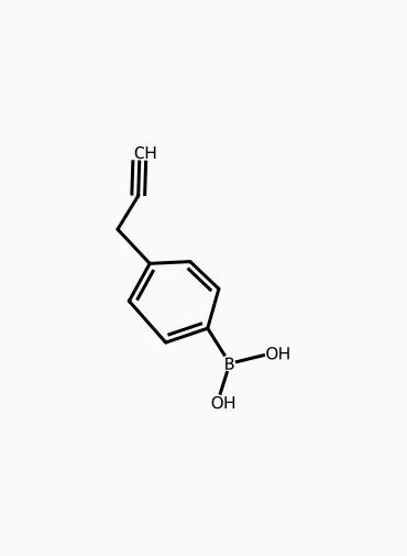 C#CCc1ccc(B(O)O)cc1